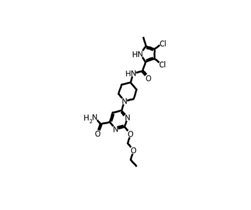 CCOCOc1nc(C(N)=O)cc(N2CCC(NC(=O)c3[nH]c(C)c(Cl)c3Cl)CC2)n1